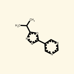 CC(C)c1nnc(-c2cncnc2)o1